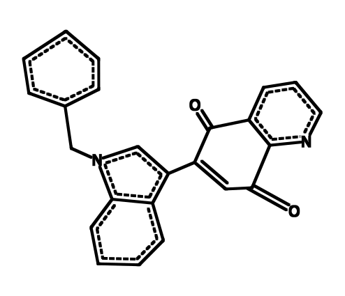 O=C1C(c2cn(Cc3ccccc3)c3ccccc23)=CC(=O)c2ncccc21